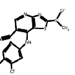 C[S+]([O-])c1nc2ncc(C#N)c(Nc3ccc(F)c(Cl)c3)c2s1